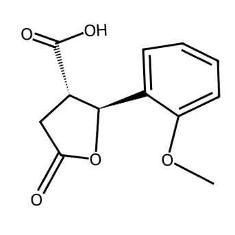 COc1ccccc1[C@H]1OC(=O)C[C@@H]1C(=O)O